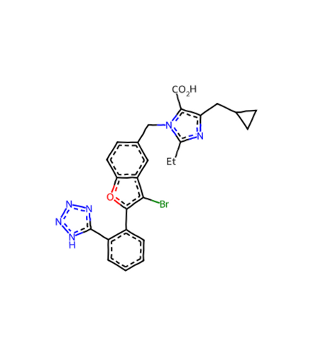 CCc1nc(CC2CC2)c(C(=O)O)n1Cc1ccc2oc(-c3ccccc3-c3nnn[nH]3)c(Br)c2c1